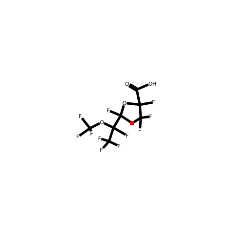 O=C(O)C(F)(OC(F)(F)C(F)(OC(F)(F)F)C(F)(F)F)C(F)(F)F